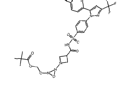 Cc1ccc(-c2cc(C(F)(F)F)nn2-c2ccc(S(=O)(=O)NC(=O)C3CN(n4on4OCOC(=O)C(C)(C)C)C3)cc2)cc1